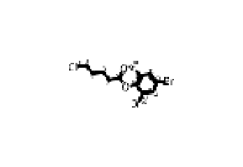 O=C(CCCCCl)Oc1c(Br)cc(Br)cc1Br